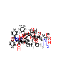 CC(=O)C[C@H]1C(=O)[C@]2(C)[C@@H](CC(=O)CCC(N)C(=O)O)C[C@H]3OC[C@@]3(OC(C)=O)[C@H]2[C@H](OC(=O)c2ccccc2)[C@]2(O)C[C@H](OC(=O)[C@H](O)[C@@H](NC(=O)c3ccccc3)c3ccccc3)C(C)=C1C2(C)C